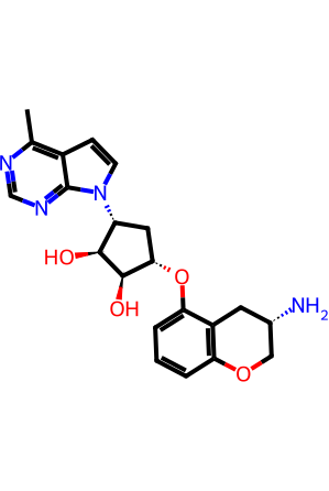 Cc1ncnc2c1ccn2[C@@H]1C[C@H](Oc2cccc3c2C[C@H](N)CO3)[C@@H](O)[C@H]1O